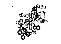 COC(=O)[C@H](CC(C)C)NC(=O)[C@@H](CC(C)C)NC(=O)[C@H](Cc1ccc(OC(C)(C)C)cc1)NC(=O)[C@H](COC(C)(C)C)NC(=O)[C@H](Cc1cn(C(=O)OC(C)(C)C)c2ccccc12)NC(=O)[C@H](Cc1cn(C(c2ccccc2)(c2ccccc2)c2ccccc2)cn1)NC(=O)[C@@H]1CCC(=O)N1C(=O)OC(C)(C)C